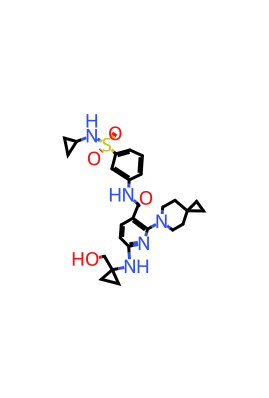 O=C(Nc1cccc(S(=O)(=O)NC2CC2)c1)c1ccc(NC2(CO)CC2)nc1N1CCC2(CC1)CC2